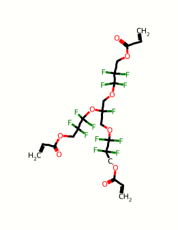 C=CC(=O)OCC(F)(F)C(F)(F)OCC(F)(COC(F)(F)C(F)(F)COC(=O)C=C)OC(F)(F)C(F)(F)COC(=O)C=C